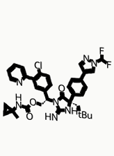 CC(C)(C)C[C@]1(c2ccc(-c3cnn(C(F)F)c3)cc2)NC(=N)N([C@H](COC(=O)NC2(C)CC2)c2ccc(Cl)c(-c3ccccn3)c2)C1=O